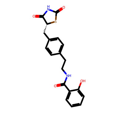 O=C1NC(=O)[C@@H](Cc2ccc(CCNC(=O)c3ccccc3O)cc2)S1